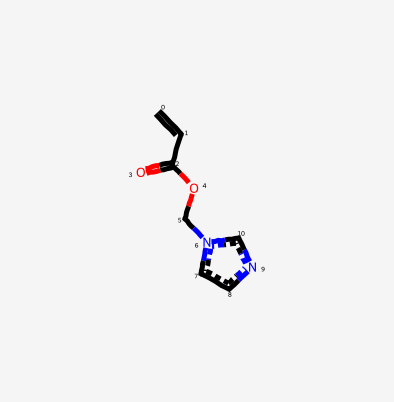 C=CC(=O)OCn1ccnc1